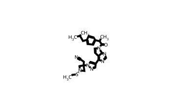 CCSN1CC(CC#N)(n2cc(-c3ncnc4c3ccn4C(=O)C(C)c3ccc(CC(C)C)cc3)cn2)C1